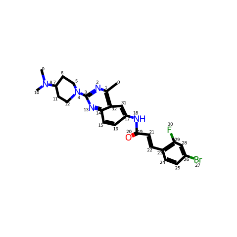 Cc1nc(N2CCC(N(C)C)CC2)nc2ccc(NC(=O)/C=C/c3ccc(Br)cc3F)cc12